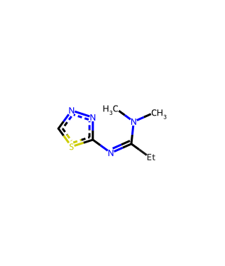 CC/C(=N/c1nncs1)N(C)C